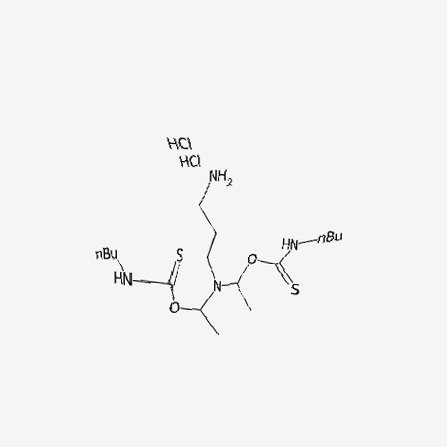 CCCCNC(=S)OC(C)N(CCCN)C(C)OC(=S)NCCCC.Cl.Cl